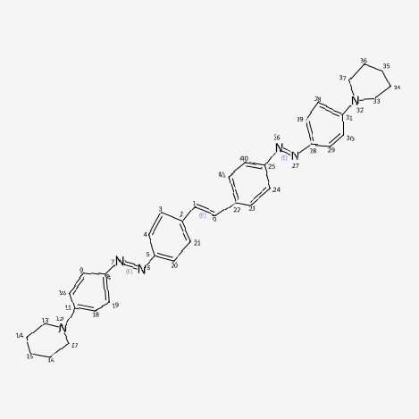 C(=C\c1ccc(/N=N/c2ccc(N3CCCCC3)cc2)cc1)/c1ccc(/N=N/c2ccc(N3CCCCC3)cc2)cc1